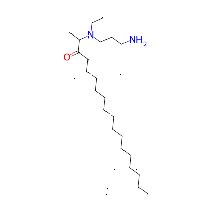 CCCCCCCCCCCCCCCC(=O)C(C)N(CC)CCCN